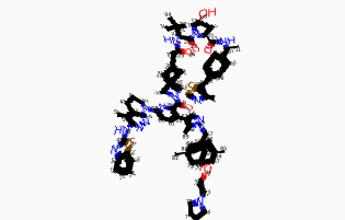 Cc1ncsc1-c1ccc([C@H](C)NC(=O)[C@@H]2C[C@@H](O)CN2C(=O)C(NC(=O)CC2CC3(C2)CN(C(=O)c2nc(N4CCCc5c4nnc(Nc4nc6ccccc6s4)c5C)ccc2-c2cnn(CC45CC6(OCCN7CCCC7)C[C@](C)(C4)C[C@](C)(C5)C6)c2C)C3)C(C)(C)C)cc1